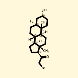 C[C@]12CC[C@@H](O)C[C@@H]1CC[C@@H]1[C@@H]2CC[C@]2(C)[C@@H](C(=O)CBr)CC[C@@H]12